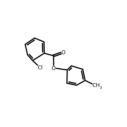 Cc1ccc(OC(=O)c2ccccc2Cl)cc1